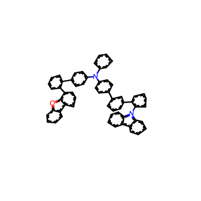 c1ccc(N(c2ccc(-c3cccc(-c4ccccc4-n4c5ccccc5c5ccccc54)c3)cc2)c2ccc(-c3ccccc3-c3cccc4c3oc3ccccc34)cc2)cc1